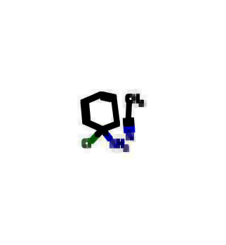 CC#N.NC1(Cl)C=CC=CC1